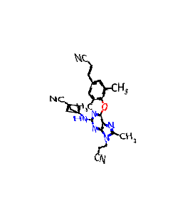 Cc1cc(/C=C/C#N)cc(C)c1Oc1nc(NC23CC(C#N)(C2)C3)nc2c1nc(C)n2CCC#N